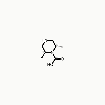 C[C@H]1CNC[C@H](C)N1C(=O)O